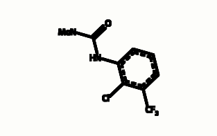 CNC(=O)Nc1cccc(C(F)(F)F)c1Cl